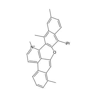 Cc1ccc2c(C(C)C)c3c(c(C)c2c1)-c1c2c(cc4c(C)cccc4c2cc[n+]1C)O3